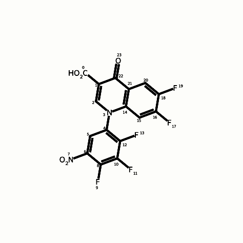 O=C(O)c1cn(-c2cc([N+](=O)[O-])c(F)c(F)c2F)c2cc(F)c(F)cc2c1=O